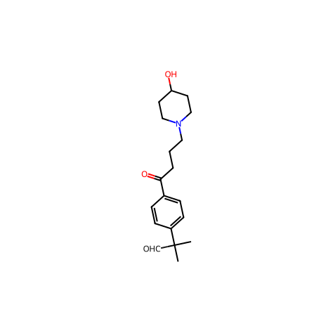 CC(C)(C=O)c1ccc(C(=O)CCCN2CCC(O)CC2)cc1